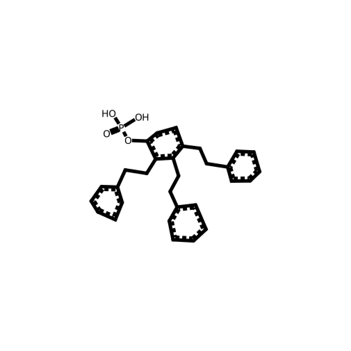 O=P(O)(O)Oc1ccc(CCc2ccccc2)c(CCc2ccccc2)c1CCc1ccccc1